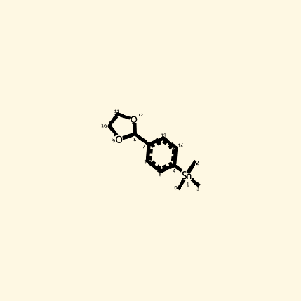 [CH3][Sn]([CH3])([CH3])[c]1ccc(C2OCCO2)cc1